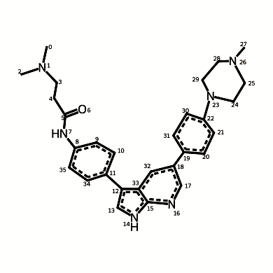 CN(C)CCC(=O)Nc1ccc(-c2c[nH]c3ncc(-c4ccc(N5CCN(C)CC5)cc4)cc23)cc1